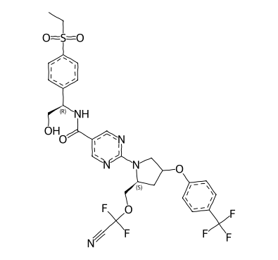 CCS(=O)(=O)c1ccc([C@H](CO)NC(=O)c2cnc(N3CC(Oc4ccc(C(F)(F)F)cc4)C[C@H]3COC(F)(F)C#N)nc2)cc1